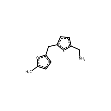 Cc1ccc(Cc2ccc(CN)s2)o1